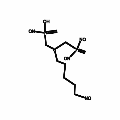 C=P(O)(CN(CCCCCN=O)CP(=C)(N=O)N=O)N=O